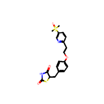 C[SH](C)(=O)c1ccc(CCOc2ccc(CC3SC(=O)NC3=O)cc2)nc1